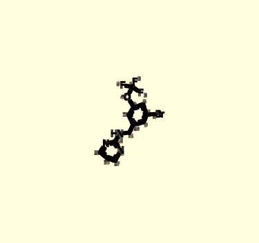 FC(F)(F)Oc1cc(Br)cc(CNc2nc[c]cn2)c1